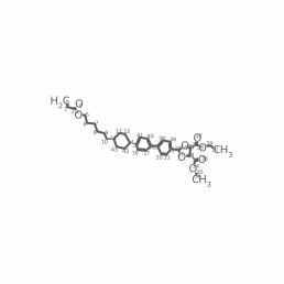 C=CC(=O)OCCCCCC[C@H]1CC[C@H](c2ccc(-c3ccc(C4O[C@@H](C(=O)OCC)[C@H](C(=O)OCC)O4)cc3)cc2)CC1